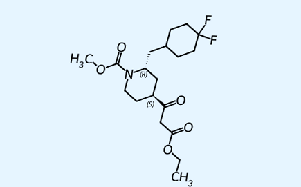 CCOC(=O)CC(=O)[C@H]1CCN(C(=O)OC)[C@H](CC2CCC(F)(F)CC2)C1